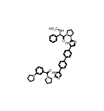 O=C(O)N[C@@H](C(=O)N1CCC[C@H]1c1ncc(-c2ccc(-c3ccc(-c4cnc([C@@H]5CCCN5C(=O)c5cccc(N6CCCC6)c5)[nH]4)cc3)cc2)[nH]1)c1ccccc1